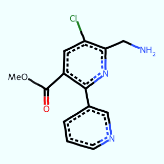 COC(=O)c1cc(Cl)c(CN)nc1-c1cccnc1